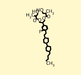 C=C(CO)C(=O)OCC(COC(=O)C(=C)CO)c1ccc(CCC2CCC(C3CCC(CCCCC)CC3)CC2)c(F)c1